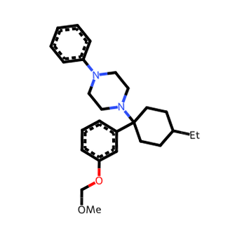 CCC1CCC(c2cccc(OCOC)c2)(N2CCN(c3ccccc3)CC2)CC1